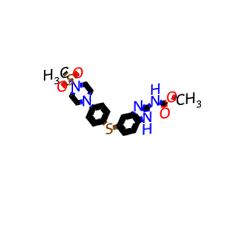 COC(=O)Nc1nc2cc(Sc3ccc(N4CCN(S(C)(=O)=O)CC4)cc3)ccc2[nH]1